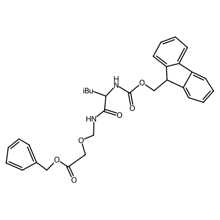 CCC(C)C(NC(=O)OCC1c2ccccc2-c2ccccc21)C(=O)NCOCC(=O)OCc1ccccc1